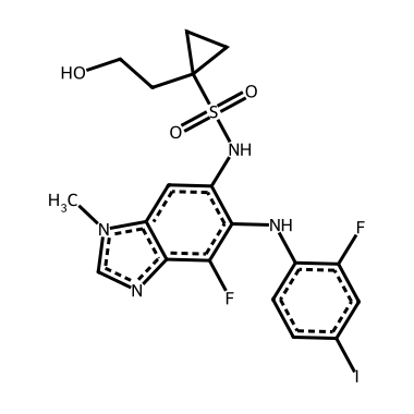 Cn1cnc2c(F)c(Nc3ccc(I)cc3F)c(NS(=O)(=O)C3(CCO)CC3)cc21